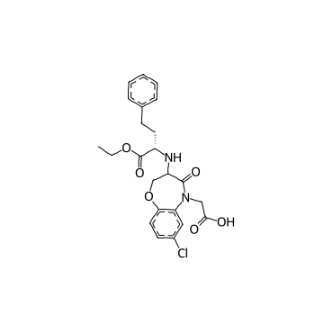 CCOC(=O)[C@H](CCc1ccccc1)NC1COc2ccc(Cl)cc2N(CC(=O)O)C1=O